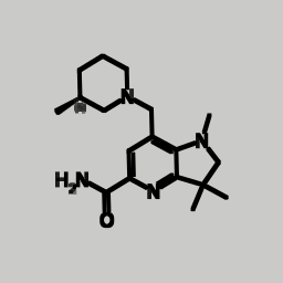 C[C@H]1CCCN(Cc2cc(C(N)=O)nc3c2N(C)CC3(C)C)C1